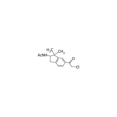 CC(=O)NC1Cc2ccc(C(=O)CCl)cc2C1(C)C